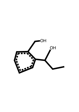 CCC(O)c1ccccc1CO